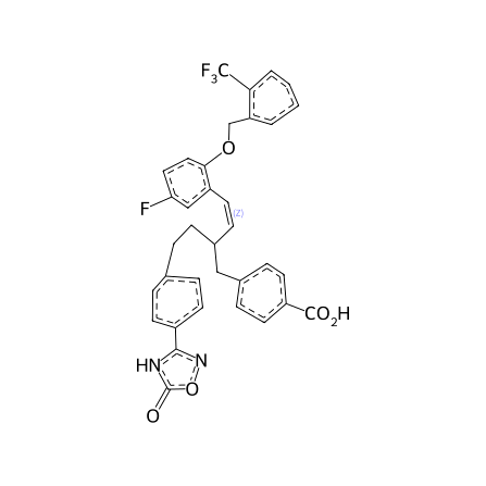 O=C(O)c1ccc(CC(/C=C\c2cc(F)ccc2OCc2ccccc2C(F)(F)F)CCc2ccc(-c3noc(=O)[nH]3)cc2)cc1